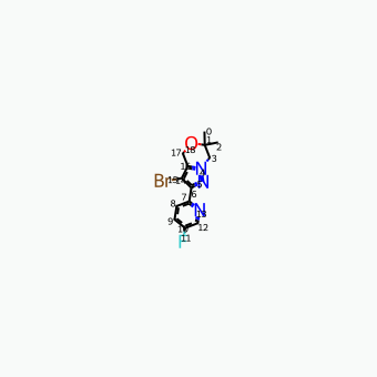 CC1(C)Cn2nc(-c3ccc(F)cn3)c(Br)c2CO1